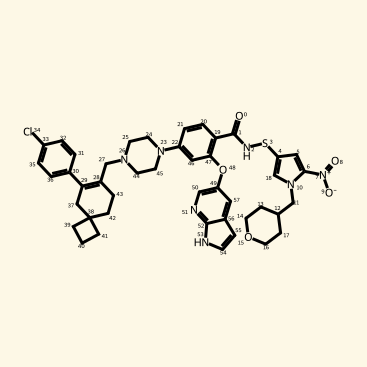 O=C(NSc1cc([N+](=O)[O-])n(CC2CCOCC2)c1)c1ccc(N2CCN(CC3=C(c4ccc(Cl)cc4)CC4(CCC4)CC3)CC2)cc1Oc1cnc2[nH]ccc2c1